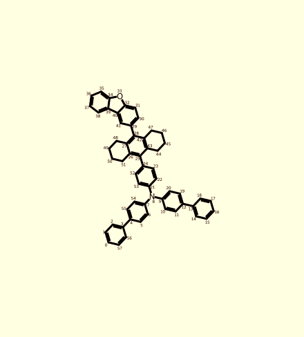 c1ccc(-c2ccc(N(c3ccc(-c4ccccc4)cc3)c3ccc(-c4c5c(c(-c6ccc7oc8ccccc8c7c6)c6c4CCCC6)CCCC5)cc3)cc2)cc1